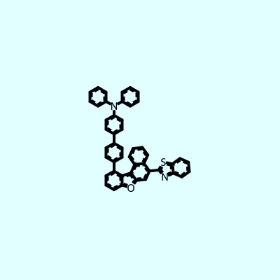 c1ccc(N(c2ccccc2)c2ccc(-c3ccc(-c4cccc5oc6cc(-c7nc8ccccc8s7)c7ccccc7c6c45)cc3)cc2)cc1